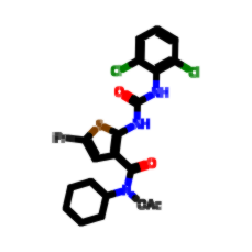 CC(=O)ON(C(=O)c1cc(C(C)C)sc1NC(=O)Nc1c(Cl)cccc1Cl)C1CCCCC1